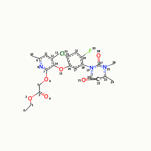 CCOC(=O)COc1nc(C)cc(C)c1Oc1cc(-n2c(=O)cc(C)n(C)c2=O)c(F)cc1Cl